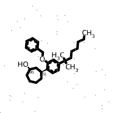 CCCCCCC(C)(C)c1ccc([C@H]2CCCC[C@@H](O)C2)c(OCc2ccccc2)c1